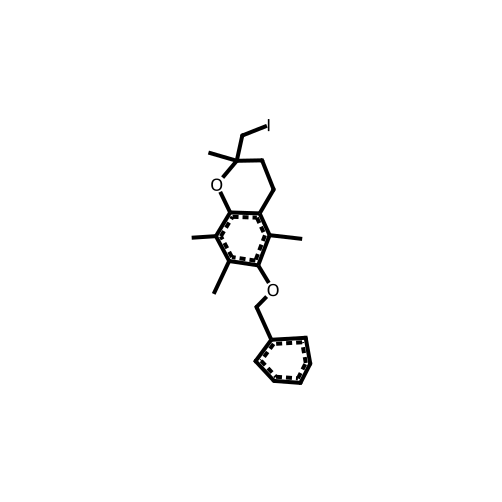 Cc1c(C)c2c(c(C)c1OCc1ccccc1)CCC(C)(CI)O2